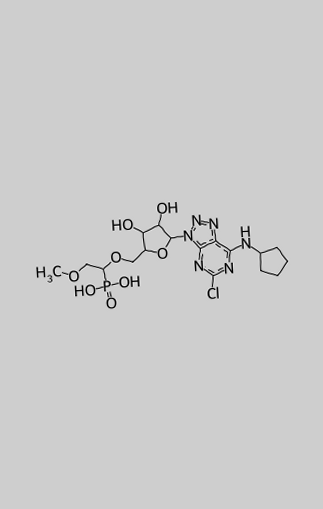 COCC(OCC1OC(n2nnc3c(NC4CCCC4)nc(Cl)nc32)C(O)C1O)P(=O)(O)O